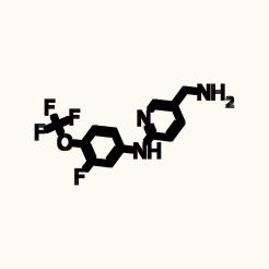 NCc1ccc(Nc2ccc(OC(F)(F)F)c(F)c2)nc1